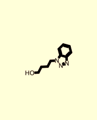 OCCCCn1nnc2ccccc21